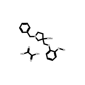 CCOc1ccccc1OCC1(OC)CCN(Cc2ccccc2)C1.O=C(O)C(=O)O